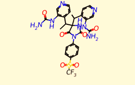 CC(c1ccncc1NC(N)=O)C1(C(C)c2ccncc2NC(N)=O)NC(=O)N(c2ccc(S(=O)(=O)C(F)(F)F)cc2)C1=O